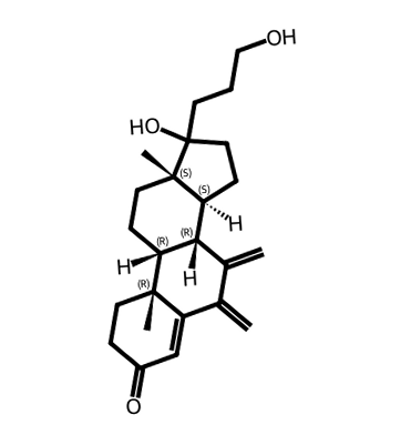 C=C1C(=C)[C@@H]2[C@@H](CC[C@@]3(C)[C@H]2CCC3(O)CCCO)[C@@]2(C)CCC(=O)C=C12